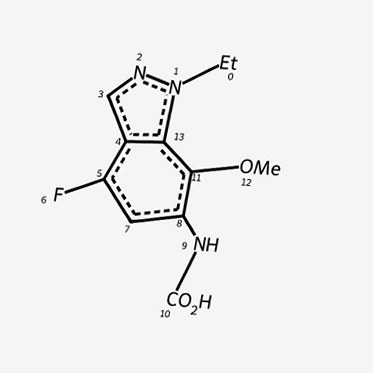 CCn1ncc2c(F)cc(NC(=O)O)c(OC)c21